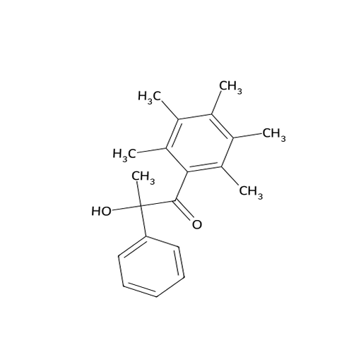 Cc1c(C)c(C)c(C(=O)C(C)(O)c2ccccc2)c(C)c1C